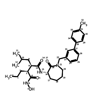 CCC[C@H](C(=O)NO)[C@@H](CC(C)C)C(=O)N[C@H]1CCCCN(Cc2cccc(-c3ccc(C)cc3)c2)C1=O